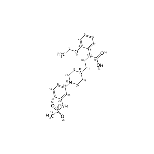 CCOc1ccccc1N(CCN1CCN(c2cccc(NS(C)(=O)=O)c2)CC1)C(=O)O